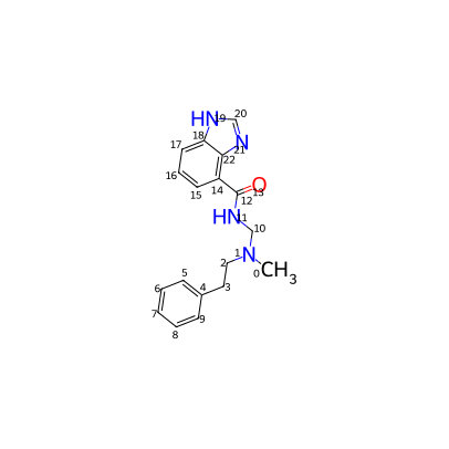 CN(CCc1ccccc1)CNC(=O)c1cccc2[nH]cnc12